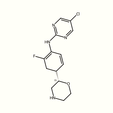 FC1=C(Nc2ncc(Cl)cn2)C=CC([C@H]2CNCCO2)C1